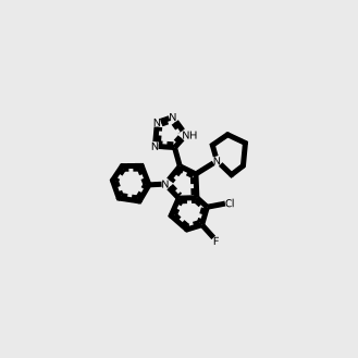 Fc1ccc2c(c1Cl)c(N1CCCCC1)c(-c1nnn[nH]1)n2-c1ccccc1